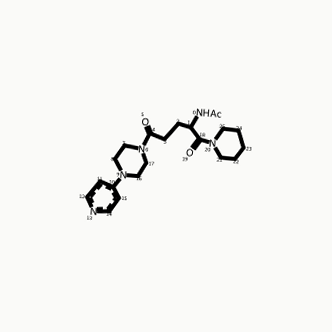 CC(=O)NC(CCC(=O)N1CCN(c2ccncc2)CC1)C(=O)N1CCCCC1